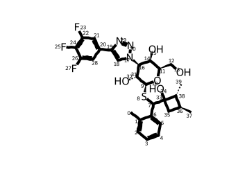 Cc1ccccc1C(S[C@@H]1O[C@H](CO)[C@H](O)[C@H](n2cc(-c3cc(F)c(F)c(F)c3)nn2)[C@H]1O)C1(O)C[C@H](C)[C@H]1C